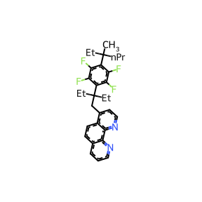 CCCC(C)(CC)c1c(F)c(F)c(C(CC)(CC)Cc2ccnc3c2ccc2cccnc23)c(F)c1F